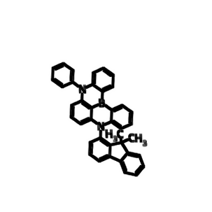 CC1(C)c2ccccc2-c2cccc(N3c4ccccc4B4c5ccccc5N(c5ccccc5)c5cccc3c54)c21